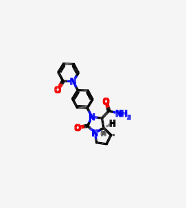 NC(=O)C1[C@H]2[CH]CCN2C(=O)N1c1ccc(-n2ccccc2=O)cc1